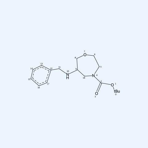 CC(C)(C)OC(=O)N1CCOCC(NCc2ccccc2)C1